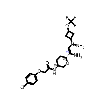 N/C(=C\N(N)C1CC(OC(F)(F)F)C1)[C@H]1CC[C@H](NC(=O)COc2ccc(Cl)cc2)CO1